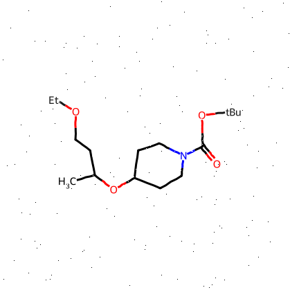 CCOCCC(C)OC1CCN(C(=O)OC(C)(C)C)CC1